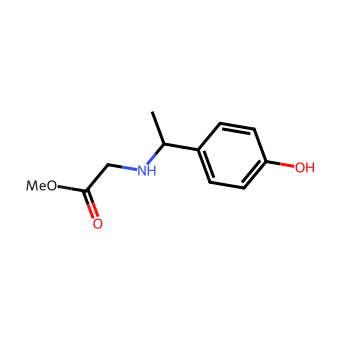 COC(=O)CNC(C)c1ccc(O)cc1